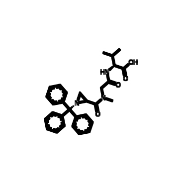 CC(C)[C@H](NC(=O)CN(C)C(=O)C1C[N@@]1C(c1ccccc1)(c1ccccc1)c1ccccc1)C(=O)O